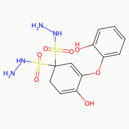 NNS(=O)(=O)C1(S(=O)(=O)NN)C=C(Oc2ccccc2O)C(O)=CC1